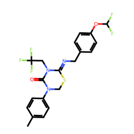 Cc1ccc(N2CSC(=NCc3ccc(OC(F)F)cc3)N(CC(F)(F)F)C2=O)cc1